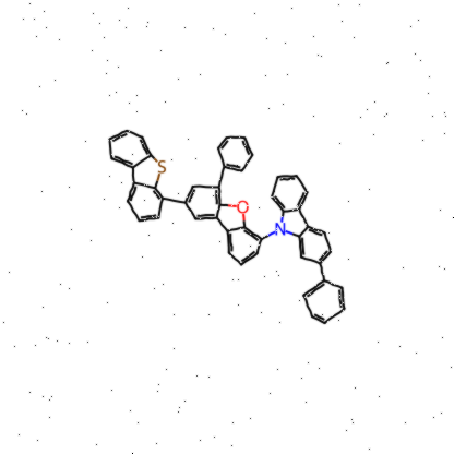 c1ccc(-c2ccc3c4ccccc4n(-c4cccc5c4oc4c(-c6ccccc6)cc(-c6cccc7c6sc6ccccc67)cc45)c3c2)cc1